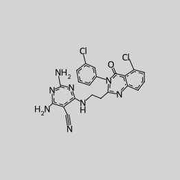 N#Cc1c(N)nc(N)nc1NCCc1nc2cccc(Cl)c2c(=O)n1-c1cccc(Cl)c1